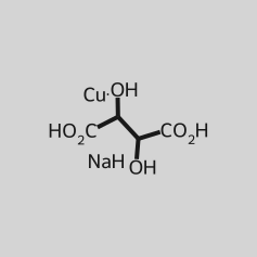 O=C(O)C(O)C(O)C(=O)O.[Cu].[NaH]